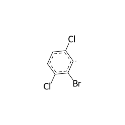 Clc1[c]c(Br)c(Cl)cc1